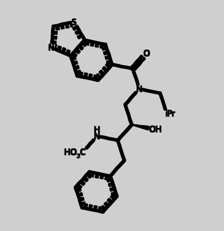 CC(C)CN(C[C@@H](O)C(Cc1ccccc1)NC(=O)O)C(=O)c1ccc2ncsc2c1